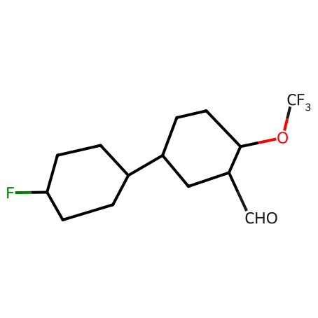 O=CC1CC(C2CCC(F)CC2)CCC1OC(F)(F)F